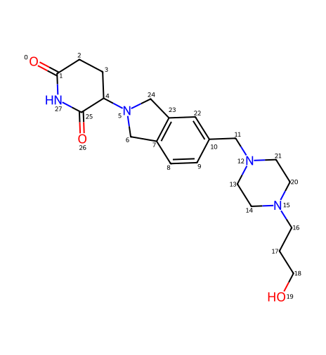 O=C1CCC(N2Cc3ccc(CN4CCN(CCCO)CC4)cc3C2)C(=O)N1